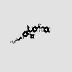 COCCOc1ccc2c(C#N)c(-c3ccc(C(=O)NCc4ccc(F)cc4)cc3)n(C3CCC3)c2c1